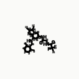 Cc1cccc(C)c1CNc1cc(NC(=O)CNC(=O)C(C)(F)F)cn2c(C)c(C)nc12